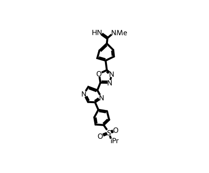 CNC(=N)c1ccc(-c2nnc(-c3cncc(-c4ccc(S(=O)(=O)C(C)C)cc4)n3)o2)cc1